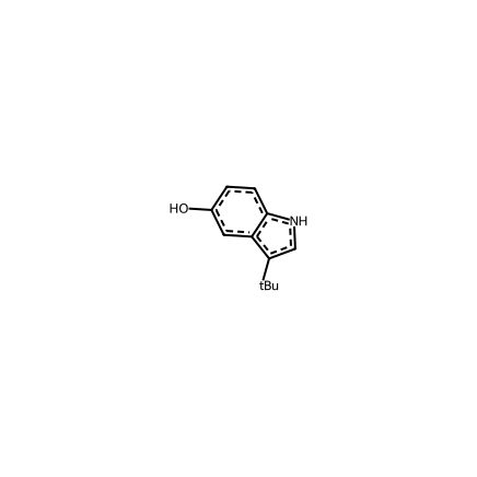 CC(C)(C)c1c[nH]c2ccc(O)cc12